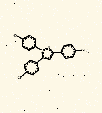 O=[N+]([O-])c1ccc(-c2cc(-c3ccc(Cl)cc3)n(-c3ccc(S)cc3)n2)cc1